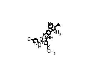 CCO[C@@H]1C[C@H](C(=O)Nc2cc(C(N)(CCC3CC3)c3ccncc3)ccc2F)N(C(=O)Nc2ccc(Cl)cn2)C1